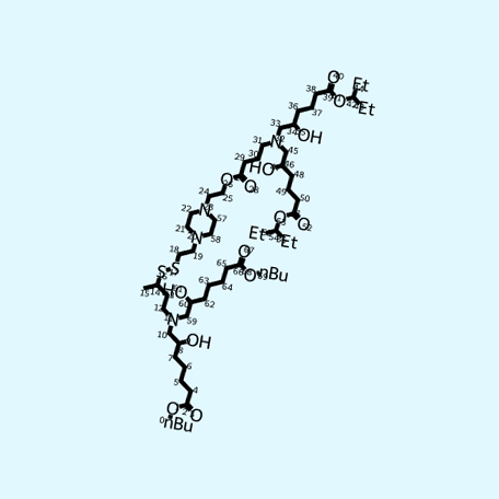 CCCCOC(=O)CCCCC(O)CN(CCC(C)SSCCN1CCN(CCOC(=O)CCCN(CC(O)CCCC(=O)OC(CC)CC)CC(O)CCCC(=O)OC(CC)CC)CC1)CC(O)CCCCC(=O)OCCCC